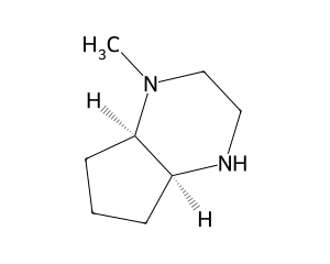 CN1CCN[C@H]2CCC[C@H]21